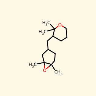 CC1(C)OCCCC1CC1CCC2(C)OC2(C)C1